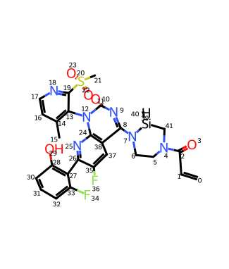 C=CC(=O)N1CCN(c2nc(=O)n(-c3c(C)ccnc3S(C)(=O)=O)c3nc(-c4c(O)cccc4F)c(F)cc23)[Si@@H](C)C1